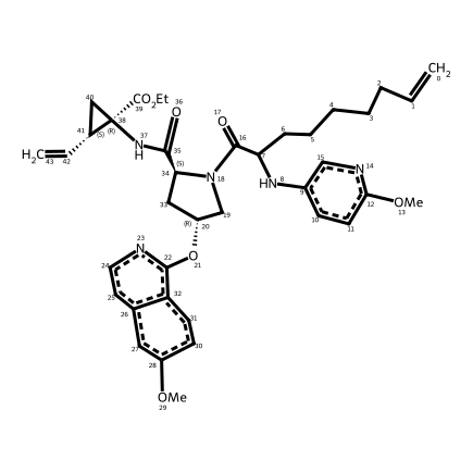 C=CCCCCCC(Nc1ccc(OC)nc1)C(=O)N1C[C@H](Oc2nccc3cc(OC)ccc23)C[C@H]1C(=O)N[C@]1(C(=O)OCC)C[C@H]1C=C